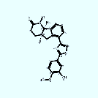 CCN1C(=O)CC[C@@H]2Cc3c(-c4noc(-c5ccc(OC(C)C)c(C#N)c5)n4)cccc3[C@@H]21